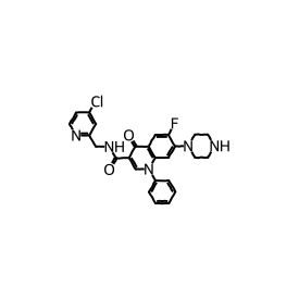 O=C(NCc1cc(Cl)ccn1)c1cn(-c2ccccc2)c2cc(N3CCNCC3)c(F)cc2c1=O